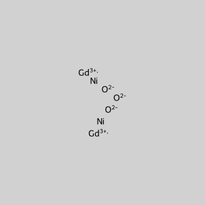 [Gd+3].[Gd+3].[Ni].[Ni].[O-2].[O-2].[O-2]